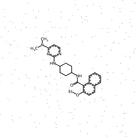 CCOc1ccc2ccccc2c1C(=O)NC1CCC(Nc2nccc(N(C)C)n2)CC1